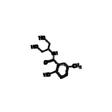 Cc1ccc(O)c(C(=O)NC(CO)CO)c1